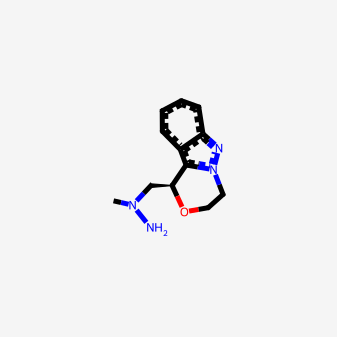 CN(N)C[C@@H]1OCCn2nc3ccccc3c21